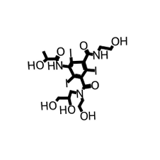 CC(O)C(=O)Nc1c(I)c(C(=O)NCCO)c(I)c(C(=O)N(CCO)CC(O)CO)c1I